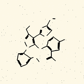 CCc1nn(-c2ccccc2OC)c(Nc2ccc(F)cc2C(=O)O)c1-c1nc(OC)cs1